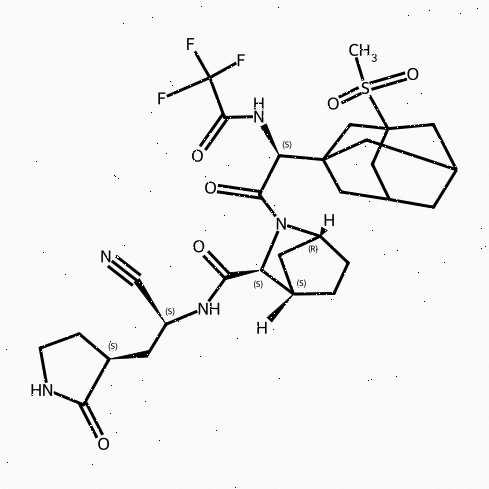 CS(=O)(=O)C12CC3CC(CC([C@H](NC(=O)C(F)(F)F)C(=O)N4[C@@H]5CC[C@@H](C5)[C@H]4C(=O)N[C@H](C#N)C[C@@H]4CCNC4=O)(C3)C1)C2